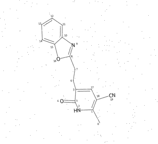 Cc1[nH]c(=O)c(CCc2nc3ccccc3o2)cc1C#N